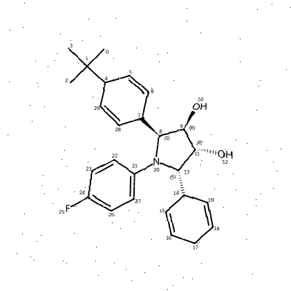 CC(C)(C)[C]1C=C[C]([C@H]2[C@@H](O)[C@H](O)[C@H]([C]3C=C[CH]C=C3)N2c2ccc(F)cc2)C=C1